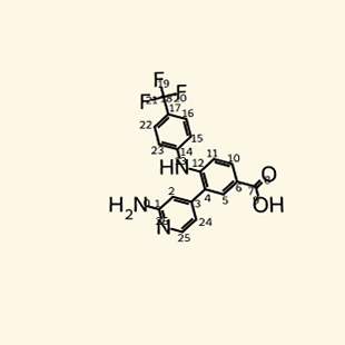 Nc1cc(-c2cc(C(=O)O)ccc2Nc2ccc(C(F)(F)F)cc2)ccn1